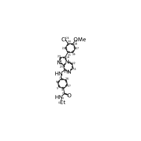 CCNC(=O)c1ccc(Nc2nccn3c(-c4ccc(OC)c(Cl)c4)cnc23)cc1